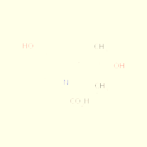 CC(C)(O)[C@H]1C[C@@H](O)CN1C(=O)O